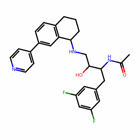 CC(=O)NC(Cc1cc(F)cc(F)c1)C(O)CNC1CCCc2ccc(-c3ccncc3)cc21